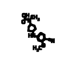 COc1cc(NC2CCC(N(C)C(=O)O)CC2)ccc1C#N